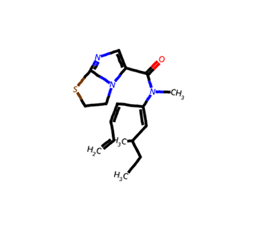 C=C/C=C\C(=C/C(C)CC)N(C)C(=O)c1cnc2n1CCS2